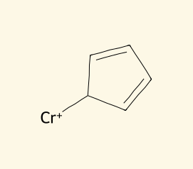 [Cr+][CH]1C=CC=C1